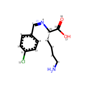 NCCCC[C@H](/N=C\c1ccc(Cl)cc1)C(=O)O